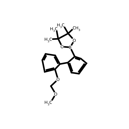 COCOc1ccccc1-c1ccccc1B1OC(C)(C)C(C)(C)O1